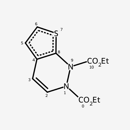 CCOC(=O)N1C=Cc2ccsc2N1C(=O)OCC